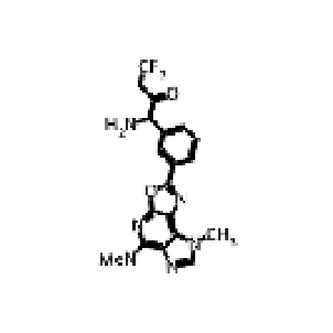 CNc1nc2oc(-c3cccc(C(N)C(=O)CC(F)(F)F)c3)nc2c2c1ncn2C